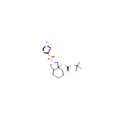 Cn1cnc(S(=O)(=O)N2CC3CCCCC3(NC(=O)OC(C)(C)C)C2)c1